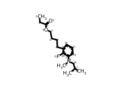 CCC(=O)OCCCCc1cccc(N(C)CC(C)C)c1F